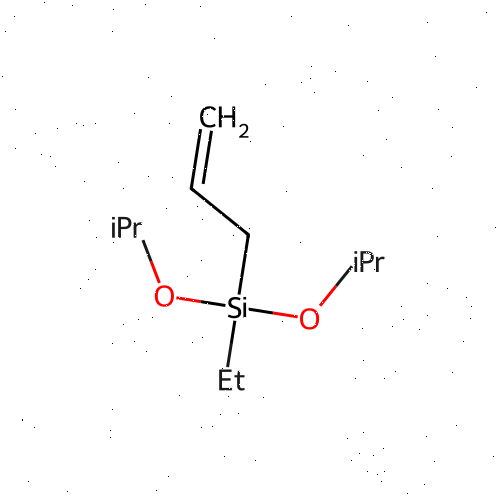 C=CC[Si](CC)(OC(C)C)OC(C)C